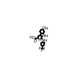 O=C(O)c1cc2c([nH]c3cc(O)ccc32)c(Nc2ccc(C(F)(F)F)cc2)n1